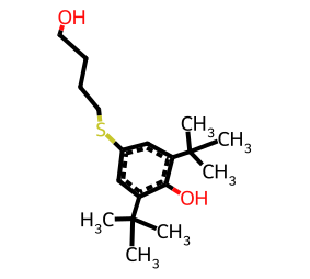 CC(C)(C)c1cc(SCCCCO)cc(C(C)(C)C)c1O